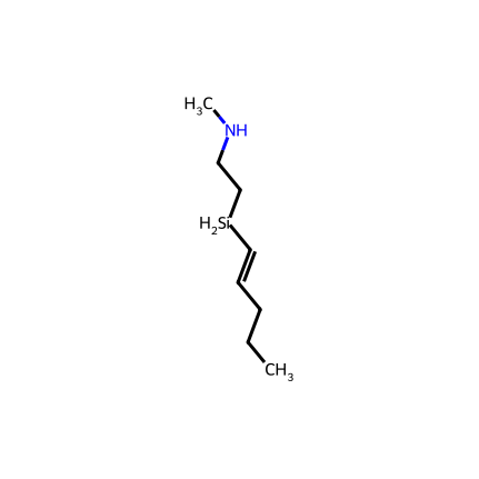 CCCC=C[SiH2]CCNC